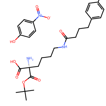 CC(C)(C)OC(=O)[C@](N)(CCCCNC(=O)CCCc1ccc(F)cc1)C(=O)O.O=[N+]([O-])c1ccc(O)cc1